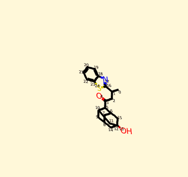 CC(CC(=O)C1C2CC3CC1CC(O)(C3)C2)c1nc2ccccc2s1